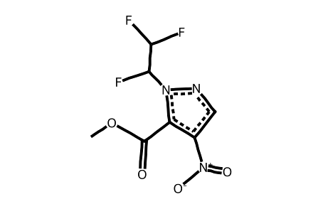 COC(=O)c1c([N+](=O)[O-])cnn1C(F)C(F)F